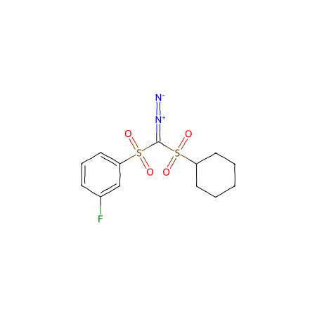 [N-]=[N+]=C(S(=O)(=O)c1cccc(F)c1)S(=O)(=O)C1CCCCC1